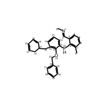 C/N=C/c1cccc(C)c1Pc1cccc(CC2C=CC=CC2)c1OCc1ccccc1